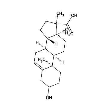 CC1(C(=O)O)CC[C@H]2[C@@H]3CC=C4CC(O)CC[C@]4(C)[C@@H]3CC[C@@]21C